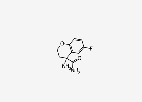 NC(=O)C1(N)CCOc2ccc(F)cc21